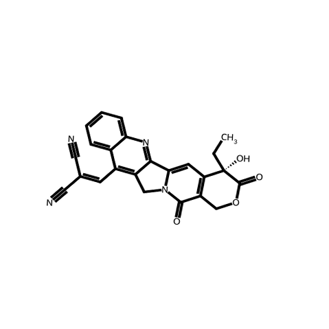 CC[C@@]1(O)C(=O)OCc2c1cc1n(c2=O)Cc2c-1nc1ccccc1c2C=C(C#N)C#N